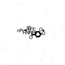 CCCC(NNC(=O)c1ccc2c(c1C)OCO2)C(C)(C)C